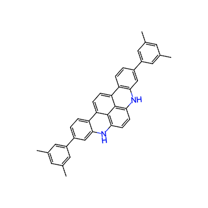 Cc1cc(C)cc(-c2ccc3c(c2)Nc2ccc4c5c(ccc-3c25)-c2ccc(-c3cc(C)cc(C)c3)cc2N4)c1